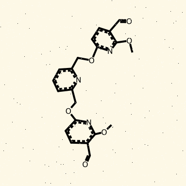 COc1nc(OCc2cccc(COc3ccc(C=O)c(OC)n3)n2)ccc1C=O